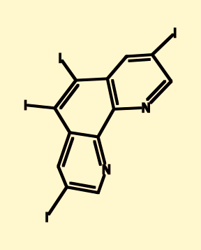 Ic1cnc2c(c1)c(I)c(I)c1cc(I)cnc12